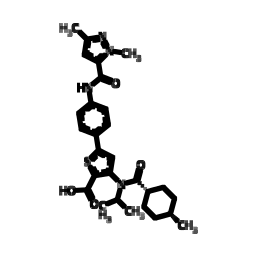 Cc1cc(C(=O)Nc2ccc(-c3cc(N(C(=O)[C@H]4CC[C@H](C)CC4)C(C)C)c(C(=O)O)s3)cc2)n(C)n1